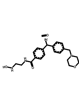 C=O.CC(=O)C(c1ccc(CN2CCOCC2)cc1)c1ccc(C(=O)NCCNO)cc1